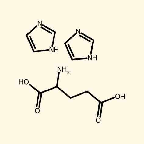 NC(CCC(=O)O)C(=O)O.c1c[nH]cn1.c1c[nH]cn1